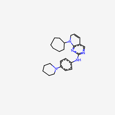 C1=Cc2cnc(Nc3ccc(N4CCCCC4)cc3)nc2N(C2CCCCCC2)C1